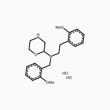 COc1ccccc1CCN(Cc1ccccc1OC)C1CNCCO1.Cl.Cl